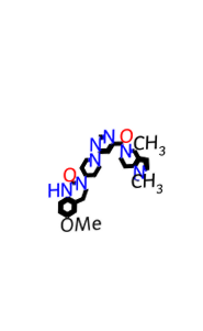 COc1ccc2c(c1)CCN(C1CCN(c3cc(C(=O)N4CCc5c(ccn5C)C4C)ncn3)CC1)C(=O)N2